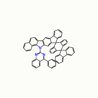 c1ccc(-c2nc(-n3c4cc5c(cc4c4ccc6ccccc6c43)-c3ccccc3C53c4ccccc4C4(c5ccccc5-c5ccccc54)c4ccccc43)nc3ccccc23)cc1